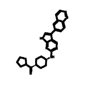 O=C([C@H]1CC[C@@H](Nc2ncc3c(-c4ccc5nnccc5c4)c[nH]c3n2)CC1)N1CCCC1